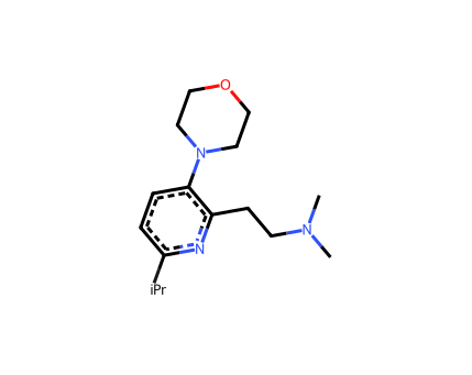 CC(C)c1ccc(N2CCOCC2)c(CCN(C)C)n1